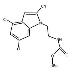 CC(C)(C)OC(=O)NCCn1c(C#N)cc2c(Cl)cc(Cl)cc21